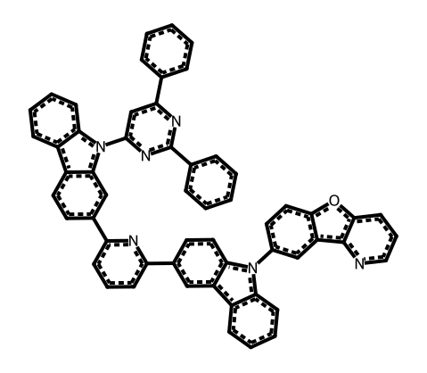 c1ccc(-c2cc(-n3c4ccccc4c4ccc(-c5cccc(-c6ccc7c(c6)c6ccccc6n7-c6ccc7oc8cccnc8c7c6)n5)cc43)nc(-c3ccccc3)n2)cc1